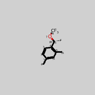 Cc1ccc([C@@H](C)OC(F)(F)F)c(C)c1